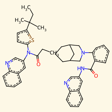 CCC(=O)N(c1cnc2ccccc2c1)c1ccc(C(C)(C)CC)s1.O=C(Nc1cnc2ccccc2c1)c1ccccc1N1CC2CCCC(C2)C1